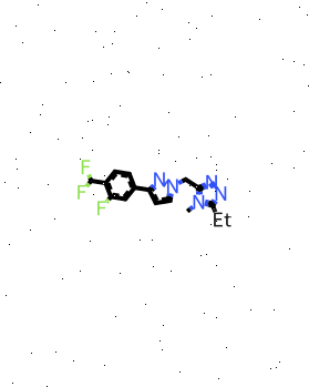 CCc1nnc(Cn2ccc(-c3ccc(C(F)F)c(F)c3)n2)n1C